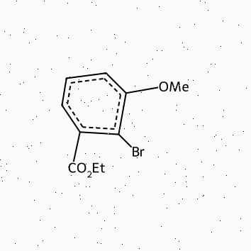 CCOC(=O)c1cccc(OC)c1Br